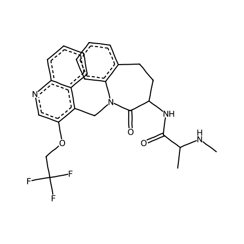 CNC(C)C(=O)NC1CCc2ccccc2N(Cc2c(OCC(F)(F)F)cnc3ccccc23)C1=O